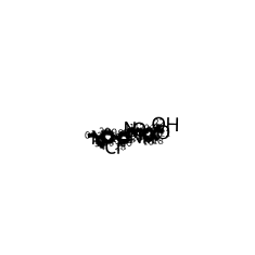 CCn1ccc2cc(-c3cc4nc(Oc5ccc(C)c(C(=O)O)c5)[nH]c4cc3Cl)ccc21